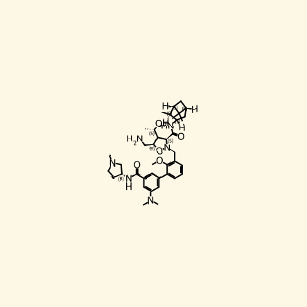 COc1c(CN2O[C@@H](CN)C([C@H](C)O)[C@H]2C(=O)N[C@H]2C[C@H]3C[C@@H]([C@@H]2C)C3(C)C)cccc1-c1cc(C(=O)N[C@@H]2CCN(C)C2)cc(N(C)C)c1